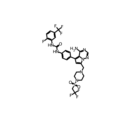 Nc1ncnn2c(CN3CCN(S(=O)(=O)CC(F)(F)F)CC3)cc(-c3ccc(NC(=O)Nc4cc(C(F)(F)F)ccc4F)cc3)c12